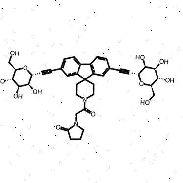 O=C(CN1CCCC1=O)N1CCC2(CC1)c1cc(C#C[C@H]3O[C@H](CO)[C@@H](O)[C@H](O)[C@@H]3O)ccc1-c1ccc(C#C[C@H]3O[C@H](CO)[C@@H](O)[C@H](O)[C@@H]3O)cc12